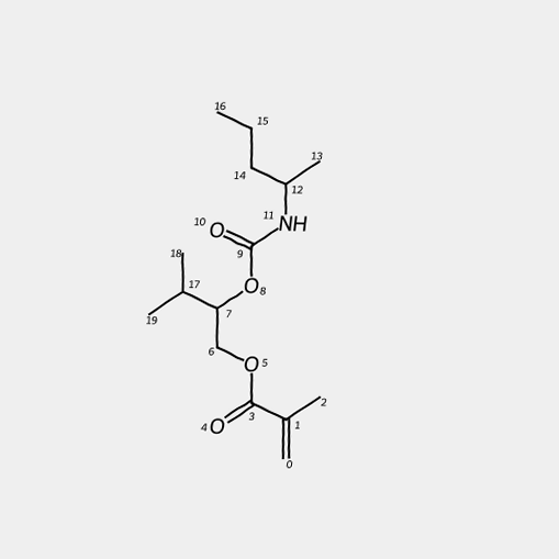 C=C(C)C(=O)OCC(OC(=O)NC(C)CCC)C(C)C